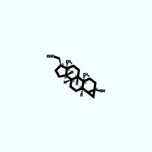 C[C@]12CC[C@]3(O)CC3[C@H]1CC[C@@H]1[C@@H]2CC[C@]2(C)[C@@H](CC=O)CC[C@@H]12